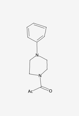 CC(=O)C(=O)N1CCN(c2ccccc2)CC1